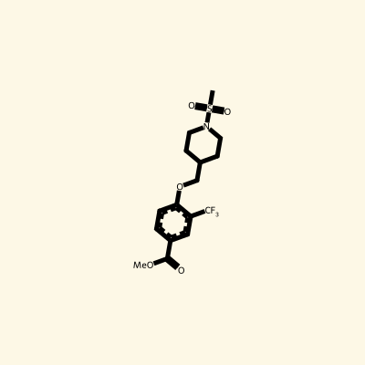 COC(=O)c1ccc(OCC2CCN(S(C)(=O)=O)CC2)c(C(F)(F)F)c1